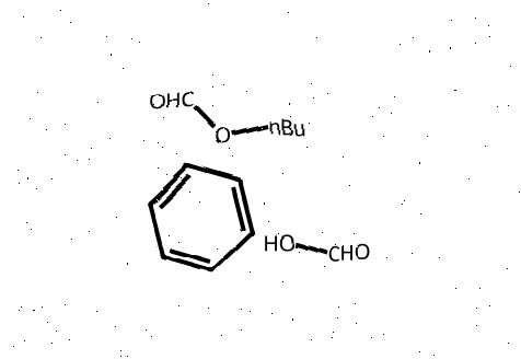 CCCCOC=O.O=CO.c1ccccc1